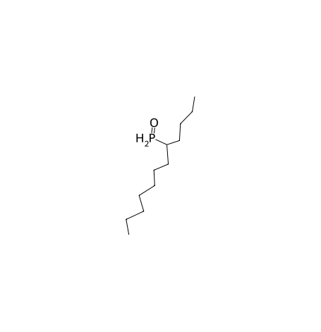 CCCCCCCC(CCCC)[PH2]=O